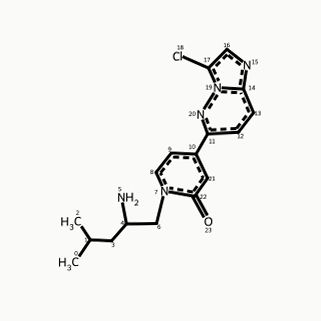 CC(C)CC(N)Cn1ccc(-c2ccc3ncc(Cl)n3n2)cc1=O